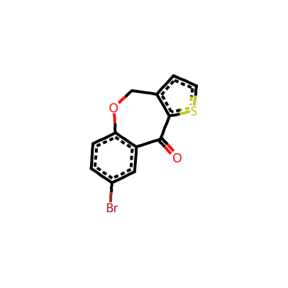 O=C1c2cc(Br)ccc2OCc2ccsc21